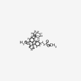 COC(=O)CCc1ccc(C2(c3cc(C45CC6CC(CC(C6)C4)C5)ccc3OC)SCCS2)cc1